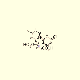 CN1CCN(c2cncc(Cl)c2)CC1.O=C(O)/C=C/C(=O)O